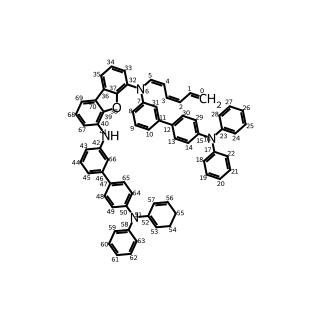 C=C/C=C\C=C/N(c1cccc(-c2ccc(N(c3ccccc3)c3ccccc3)cc2)c1)c1cccc2c1oc1c(Nc3cccc(-c4ccc(N(C5=CCCC=C5)c5ccccc5)cc4)c3)cccc12